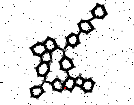 c1ccc(-c2ccc(-c3ccc(N(c4ccc(-c5cccc6c5oc5ccccc56)cc4)c4ccc5cccc6c5c4Oc4cc(N(c5ccccc5)c5ccccc5)ccc4-6)cc3)cc2)cc1